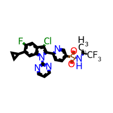 C[C@H](NS(=O)(=O)c1ccc(-c2c(Cl)c3cc(F)c(C4CC4)cc3n2-c2ncccn2)nc1)C(F)(F)F